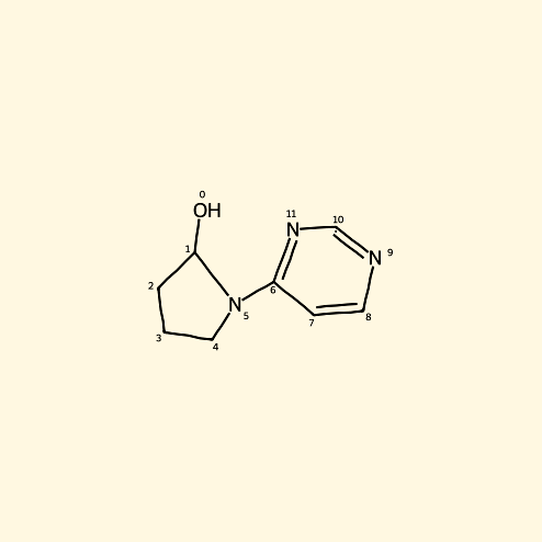 OC1CCCN1c1ccn[c]n1